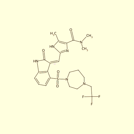 Cc1[nH]c(/C=C2\C(=O)Nc3cccc(S(=O)(=O)N4CCCN(CC(F)(F)F)CC4)c32)nc1C(=O)N(C)C